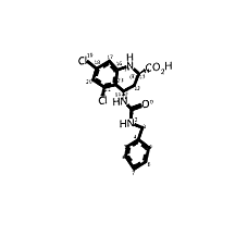 O=C(NCc1ccccc1)N[C@H]1C[C@H](C(=O)O)Nc2cc(Cl)cc(Cl)c21